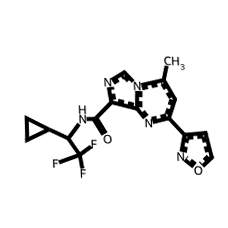 Cc1cc(-c2ccon2)nc2c(C(=O)NC(C3CC3)C(F)(F)F)ncn12